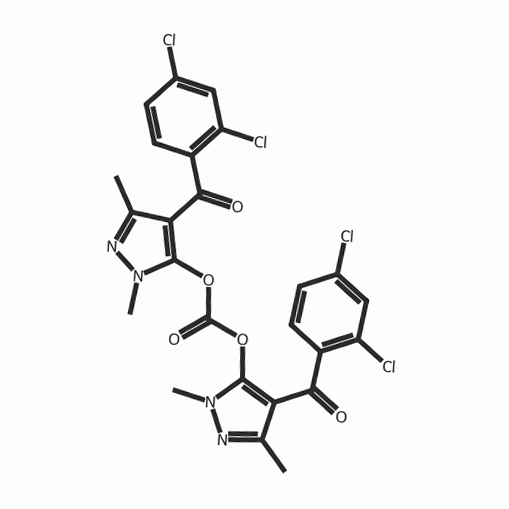 Cc1nn(C)c(OC(=O)Oc2c(C(=O)c3ccc(Cl)cc3Cl)c(C)nn2C)c1C(=O)c1ccc(Cl)cc1Cl